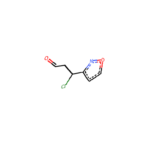 O=CCC(Cl)c1ccon1